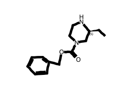 CC[C@H]1CN(C(=O)OCc2ccccc2)CCN1